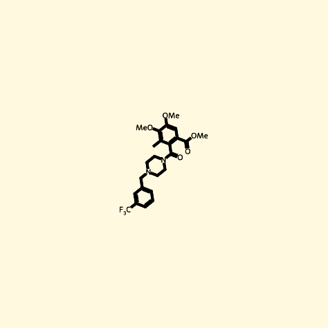 COC(=O)c1cc(OC)c(OC)c(C)c1C(=O)N1CCN(Cc2cccc(C(F)(F)F)c2)CC1